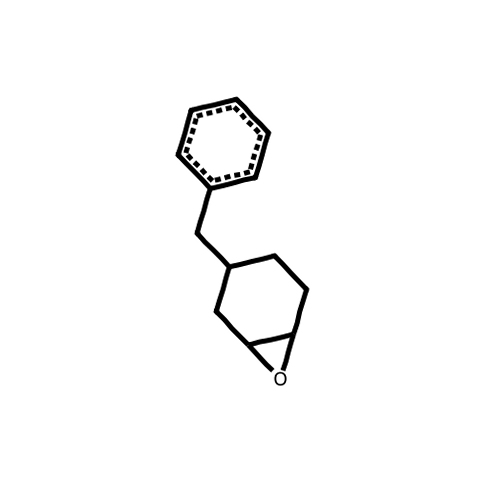 c1ccc(CC2CCC3OC3C2)cc1